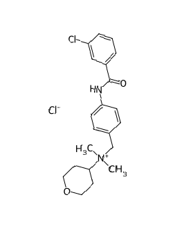 C[N+](C)(Cc1ccc(NC(=O)c2cccc(Cl)c2)cc1)C1CCOCC1.[Cl-]